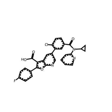 O=C(O)c1c(-c2ccc(F)cc2)oc2ncc(-c3cc(C(=O)N(c4ccccn4)C4CC4)ccc3Cl)cc12